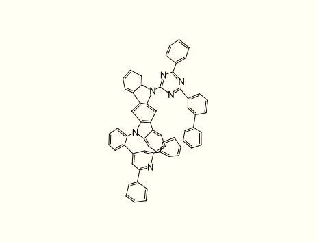 c1ccc(-c2cccc(-c3nc(-c4ccccc4)nc(-n4c5ccccc5c5cc6c(cc54)c4ccccc4n6-c4ccccc4-c4cc(-c5ccccc5)nc(-c5ccccc5)c4)n3)c2)cc1